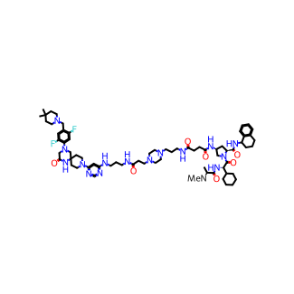 CN[C@@H](C)C(=O)N[C@H](C(=O)N1C[C@@H](NC(=O)CCC(=O)NCCCN2CCN(CCC(=O)NCCCNc3cc(N4CCC5(CC4)CN(c4cc(F)c(CN6CCC(C)(C)CC6)cc4F)CC(=O)N5)ncn3)CC2)C[C@H]1C(=O)NC1CCCc2ccccc21)C1CCCCC1